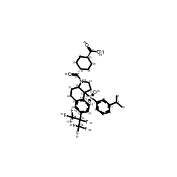 CC(C)c1cccc(S(=O)(=O)C23CCN(C(=O)[C@H]4CC[C@H](C(=O)O)CC4)C2CCc2cc(C(F)(C(F)(F)F)C(F)(F)F)ccc23)c1